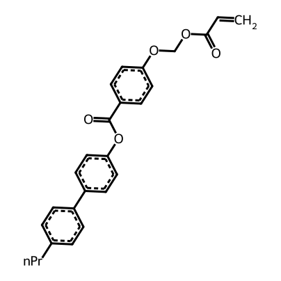 C=CC(=O)OCOc1ccc(C(=O)Oc2ccc(-c3ccc(CCC)cc3)cc2)cc1